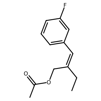 CCC(=Cc1cccc(F)c1)COC(C)=O